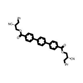 CC(C)C[C@@H](C#N)COC(=O)c1ccc(-c2ccc(-c3ccc(C(=O)OC[C@H](C#N)CC(C)C)cc3)cc2)cc1